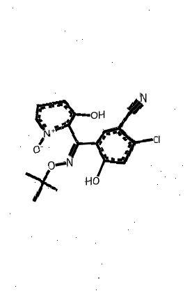 CC(C)(C)ON=C(c1cc(C#N)c(Cl)cc1O)c1c(O)ccc[n+]1[O-]